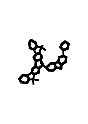 CC1(C)c2ccccc2-c2cc3c4cc5c(cc4n(-c4ccc6oc7ccc(-c8ccccc8)cc7c6c4)c3cc21)C(C)(C)c1ccccc1-5